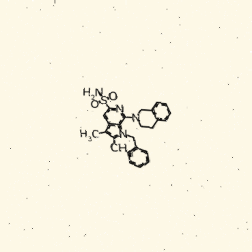 Cc1c(C)n(Cc2ccccc2)c2c(N3CCc4ccccc4C3)nc(S(N)(=O)=O)cc12